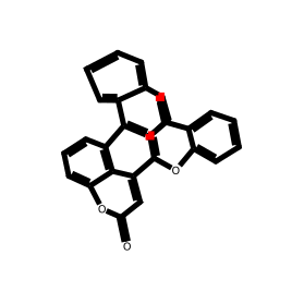 O=c1[c]c(-c2cc(=O)c3ccccc3o2)c2c(-c3nccc4ccccc34)cccc2o1